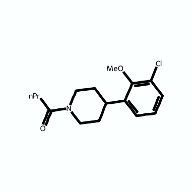 CCCC(=O)N1CCC(c2cccc(Cl)c2OC)CC1